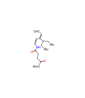 COC(=O)CCC(=O)N/C=C\C(=C/C=O)C(CC(C)(C)C)CC(C)(C)C